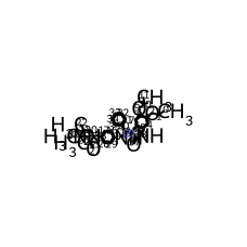 CCOc1cc2c(cc1OCC)/C(=C(/Nc1ccc(N(CC(C)NC)C(C)=O)cc1)c1ccccc1)C(=O)N2